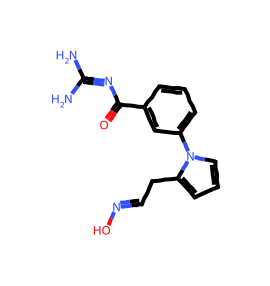 NC(N)=NC(=O)c1cccc(-n2cccc2CC=NO)c1